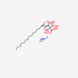 CCCCCCCCCCCCCC=C(C)C(C)=C(C(=O)O)C(C(=O)O)(C(=O)O)C(=O)O.CCNCC